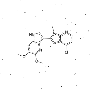 COc1cc2[nH]cc(-c3cc4c(Cl)ccnc4n3C)c2nc1OC